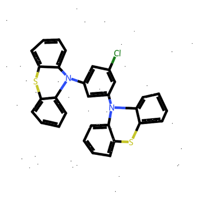 Clc1cc(N2c3ccccc3Sc3ccccc32)cc(N2c3ccccc3Sc3ccccc32)c1